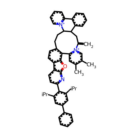 C=C1CC2c3ccccc3-c3cccc[n+]3C2CCc2ccc3c(oc4nc(-c5c(C(C)C)cc(-c6ccccc6)cc5C(C)C)ccc43)c2-c2cc(C)c(C)c[n+]21